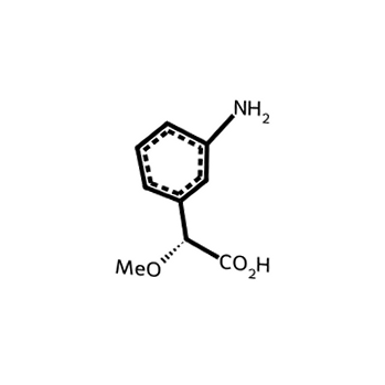 CO[C@@H](C(=O)O)c1cccc(N)c1